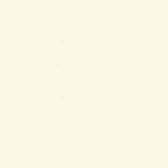 CC/C=C\C(C1=CC(C#N)=C(C)CC1)=C(/C)c1ccc(F)c(C)c1